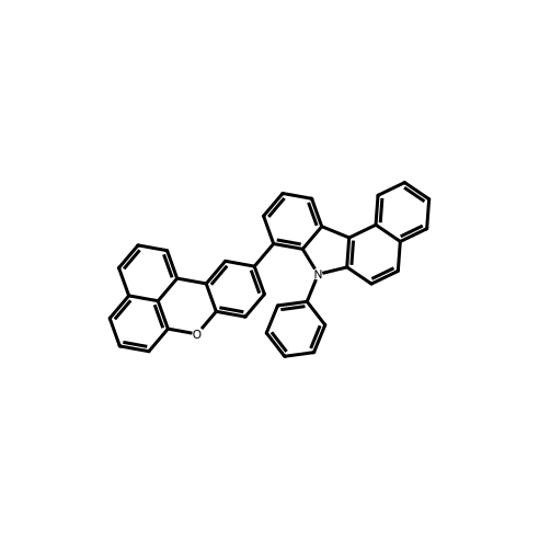 c1ccc(-n2c3ccc4ccccc4c3c3cccc(-c4ccc5c(c4)-c4cccc6cccc(c46)O5)c32)cc1